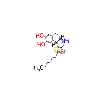 Br.CCCCCCc1cc2c(s1)[C@@H]1c3cc(O)c(O)cc3CC[C@H]1NC2